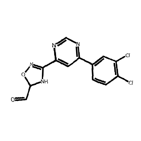 O=CC1NC(c2cc(-c3ccc(Cl)c(Cl)c3)ncn2)=NO1